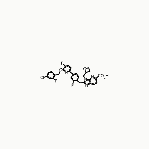 O=C(O)c1ccc2nc(Cc3ccc(-c4ccc(F)c(OCc5ccc(Cl)cc5F)n4)cc3F)n(CC3CCO3)c2n1